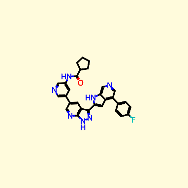 O=C(Nc1cncc(-c2cnc3[nH]nc(-c4cc5c(-c6ccc(F)cc6)cncc5[nH]4)c3c2)c1)C1CCCC1